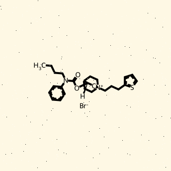 CCCCN(C(=O)O[C@H]1C[N+]2(CCCc3cccs3)CCC1CC2)c1ccccc1.[Br-]